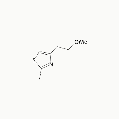 COCCc1csc(C)n1